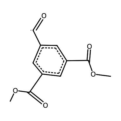 COC(=O)c1cc([C]=O)cc(C(=O)OC)c1